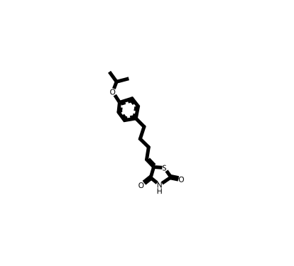 CC(C)Oc1ccc(CCCC=C2SC(=O)NC2=O)cc1